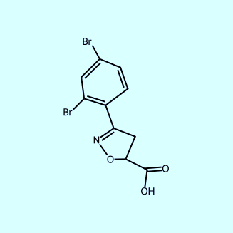 O=C(O)C1CC(c2ccc(Br)cc2Br)=NO1